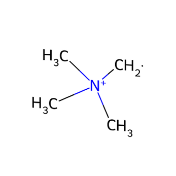 [CH2][N+](C)(C)C